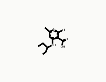 CCC(CC)Nc1cc(C)nc(Cl)c1C(=O)O